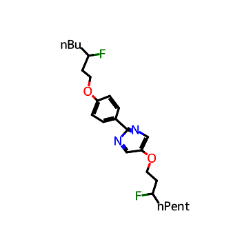 CCCCCC(F)CCOc1cnc(-c2ccc(OCCC(F)CCCC)cc2)nc1